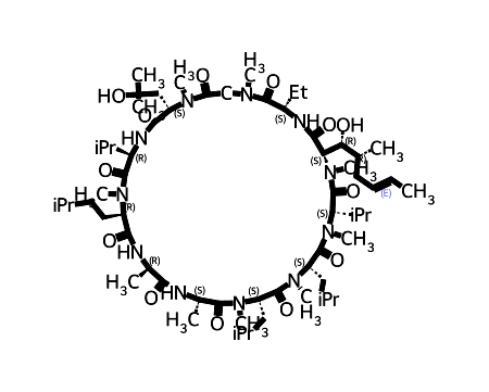 C/C=C/C[C@@H](C)[C@@H](O)[C@H]1C(=O)N[C@@H](CC)C(=O)N(C)CC(=O)N(C)[C@@H](CC(C)(C)O)C(=O)N[C@H](C(C)C)C(=O)N(C)[C@H](CCC(C)C)C(=O)N[C@H](C)C(=O)N[C@@H](C)C(=O)N(C)[C@@H](CC(C)C)C(=O)N(C)[C@@H](CC(C)C)C(=O)N(C)[C@@H](C(C)C)C(=O)N1C